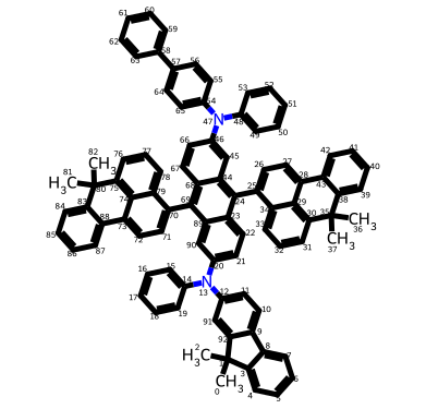 CC1(C)c2ccccc2-c2ccc(N(c3ccccc3)c3ccc4c(-c5ccc6c7c(cccc57)C(C)(C)c5ccccc5-6)c5cc(N(c6ccccc6)c6ccc(-c7ccccc7)cc6)ccc5c(-c5ccc6c7c(cccc57)C(C)(C)c5ccccc5-6)c4c3)cc21